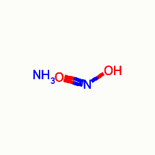 N.O=NO